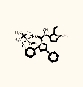 CN1CCC(N(C)C(=O)N2CC(c3ccccc3)=C[C@@]2(CO[Si](C)(C)C(C)(C)C)c2ccccc2)C1CF